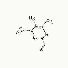 Cc1nc(C=O)nc(C2CC2)c1C